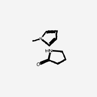 Cn1cccc1.O=C1CCCN1